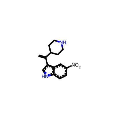 C=C(c1c[nH]c2ccc([N+](=O)[O-])cc12)C1CCNCC1